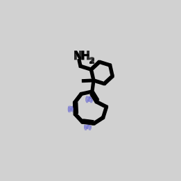 CC1(/C2=C\CC/C=C\C=C/C2)CCCCC1CN